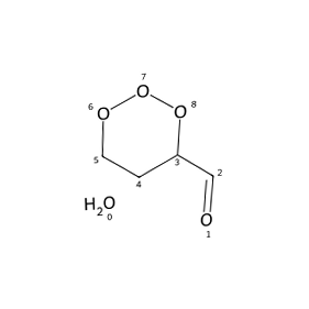 O.O=CC1CCOOO1